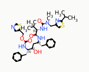 CC(C)c1nc(CN(C)C(=O)N[C@H](C(=O)N[C@H](Cc2ccccc2)C[C@H](O)[C@H](Cc2ccccc2)NC(=O)OCc2cncs2)C(C)C)cs1